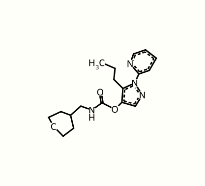 CCCc1c(OC(=O)NCC2CCCCC2)cnn1-c1ccccn1